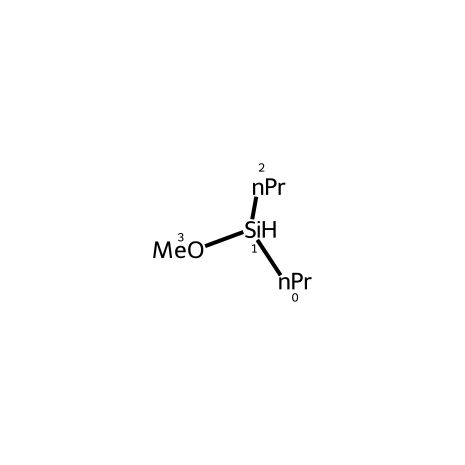 CCC[SiH](CCC)OC